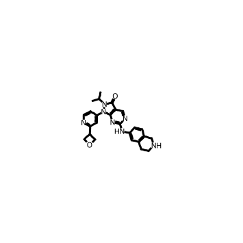 CC(C)n1c(=O)c2cnc(Nc3ccc4c(c3)CCNC4)nc2n1-c1ccnc(C2COC2)c1